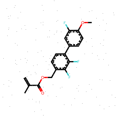 C=C(C)C(=O)OCc1ccc(-c2ccc(OC)c(F)c2)c(F)c1F